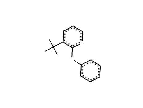 FC(F)(F)c1cccnc1Oc1ccccc1